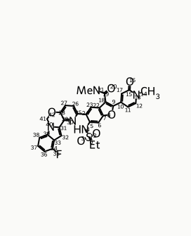 CCS(=O)(=O)Nc1cc2oc(-c3ccn(C)c(=O)c3)c(C(=O)NC)c2cc1-c1ccc2c(n1)-c1cc3c(F)cccc3n1CO2